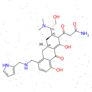 CN(C)[C@H](CO)[C@@H]1C[C@@H]2Cc3c(CNCc4ccc[nH]4)ccc(O)c3C(=O)C2=C(O)C1C(=O)CC(N)=O